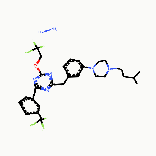 CC(C)CCN1CCN(c2cccc(Cc3nc(OCC(F)(F)F)nc(-c4cccc(C(F)(F)F)c4)n3)c2)CC1.NN